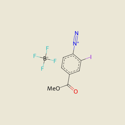 COC(=O)c1ccc([N+]#N)c(I)c1.F[B-](F)(F)F